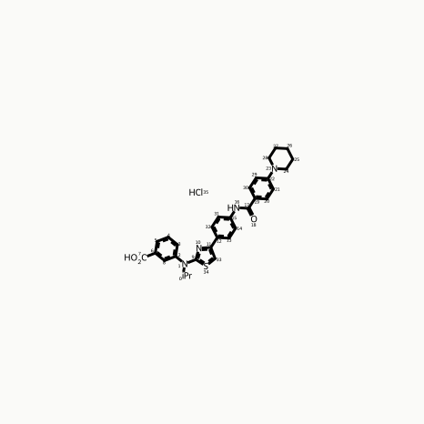 CC(C)N(c1cccc(C(=O)O)c1)c1nc(-c2ccc(NC(=O)c3ccc(N4CCCCC4)cc3)cc2)cs1.Cl